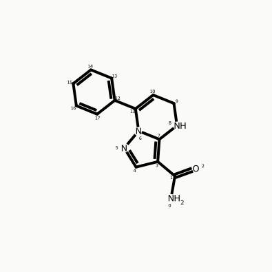 NC(=O)c1cnn2c1NCC=C2c1ccccc1